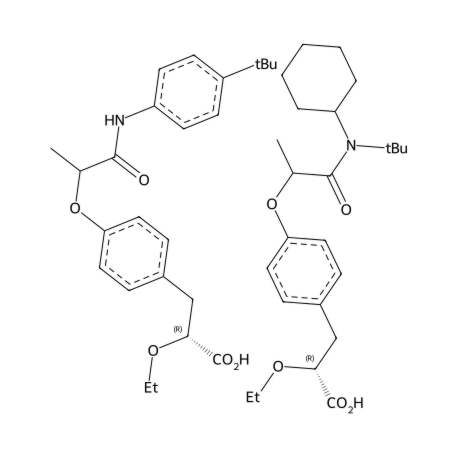 CCO[C@H](Cc1ccc(OC(C)C(=O)N(C2CCCCC2)C(C)(C)C)cc1)C(=O)O.CCO[C@H](Cc1ccc(OC(C)C(=O)Nc2ccc(C(C)(C)C)cc2)cc1)C(=O)O